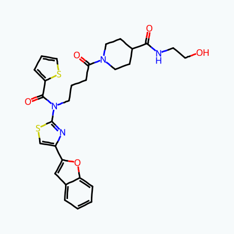 O=C(NCCO)C1CCN(C(=O)CCCN(C(=O)c2cccs2)c2nc(-c3cc4ccccc4o3)cs2)CC1